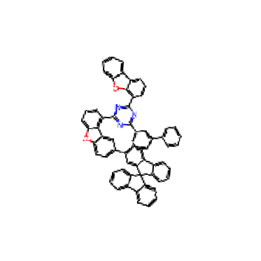 c1ccc(-c2cccc(-c3nc(-c4cccc5c4oc4ccccc45)nc(-c4cccc5oc6ccc(-c7ccc8c(c7)C7(c9ccccc9-c9ccccc97)c7ccccc7-8)cc6c45)n3)c2)cc1